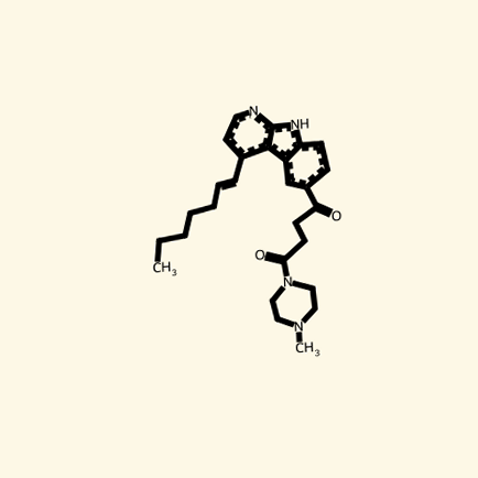 CCCCCC=Cc1ccnc2[nH]c3ccc(C(=O)CCC(=O)N4CCN(C)CC4)cc3c12